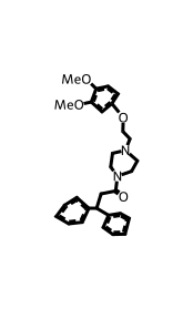 COc1ccc(OCCN2CCN(C(=O)CC(c3ccccc3)c3ccccc3)CC2)cc1OC